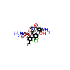 CCc1cccc(-c2c(Cl)cccc2C(OCCOC(N)=O)[C@@H]2CN(C(=O)[C@H]3C[C@@H](N)[C@@H](O)C3)CCO2)c1